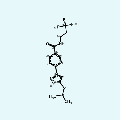 CC(C)Cc1cn(-c2ccc(C(=O)NCCC(F)(F)F)cc2)nn1